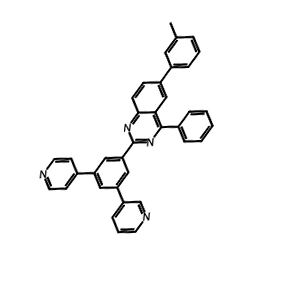 Cc1cccc(-c2ccc3nc(-c4cc(-c5ccncc5)cc(-c5cccnc5)c4)nc(-c4ccccc4)c3c2)c1